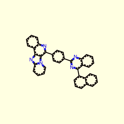 c1ccc2c(-c3nc(-c4ccc(-c5nc6ccccc6c6nc7ccccn7c56)cc4)nc4ccccc34)cccc2c1